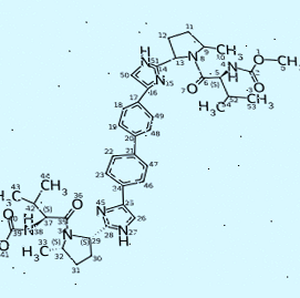 COC(=O)N[C@H](C(=O)N1C(C)CCC1c1nc(-c2ccc(-c3ccc(-c4c[nH]c([C@@H]5CC[C@H](C)N5C(=O)[C@@H](NC(=O)O)C(C)C)n4)cc3)cc2)c[nH]1)C(C)C